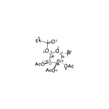 CCC(=O)O[C@@H]1O[C@H](Br)[C@H](OC(C)=O)[C@@H](OC(C)=O)[C@H]1OC(C)=O